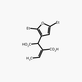 C/C=C(/C(=O)O)C(C(=O)O)c1cc(CC)oc1CC